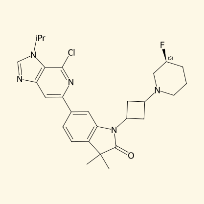 CC(C)n1cnc2cc(-c3ccc4c(c3)N(C3CC(N5CCC[C@H](F)C5)C3)C(=O)C4(C)C)nc(Cl)c21